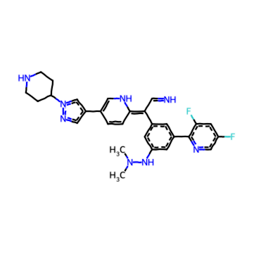 CN(C)Nc1cc(/C(C=N)=C2\C=CC(c3cnn(C4CCNCC4)c3)=CN2)cc(-c2ncc(F)cc2F)c1